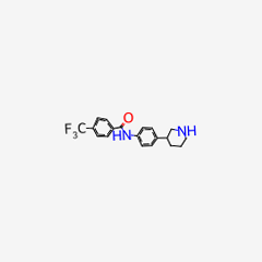 O=C(Nc1ccc(C2CCCNC2)cc1)c1ccc(C(F)(F)F)cc1